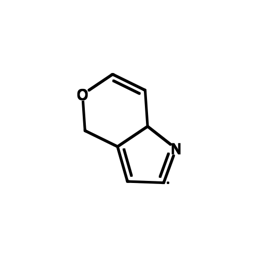 [C]1=NC2C=COCC2=C1